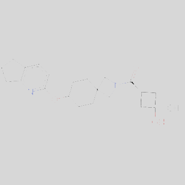 C[C@]1(O)C[C@@H](C(=O)N2CC3(CCC(Oc4ccc5c(n4)CCC5)CC3)C2)C1